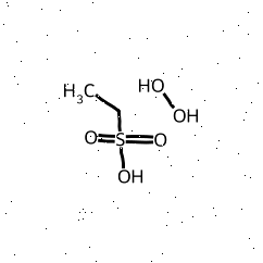 CCS(=O)(=O)O.OO